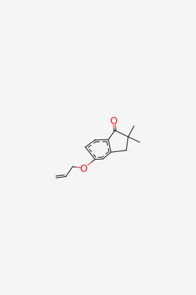 C=CCOc1ccc2c(c1)CC(C)(C)C2=O